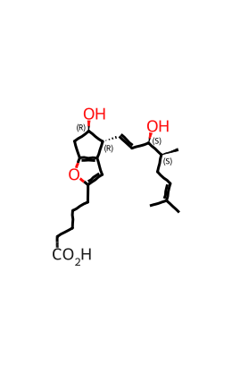 CC(C)=CC[C@H](C)[C@H](O)C=C[C@@H]1c2cc(CCCCC(=O)O)oc2C[C@H]1O